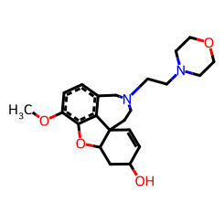 COc1ccc2c3c1OC1CC(O)C=CC31CCN(CCN1CCOCC1)C2